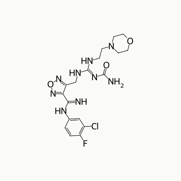 N=C(Nc1ccc(F)c(Cl)c1)c1nonc1CNC(=NC(N)=O)NCCN1CCOCC1